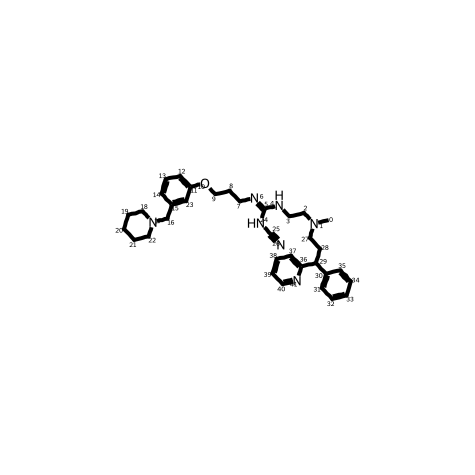 CN(CCN/C(=N/CCCOc1cccc(CN2CCCCC2)c1)NC#N)CCC(c1ccccc1)c1ccccn1